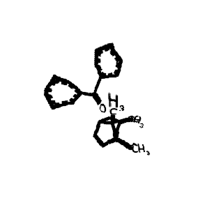 CC12CCC(CC1=O)C2(C)C.O=C(c1ccccc1)c1ccccc1